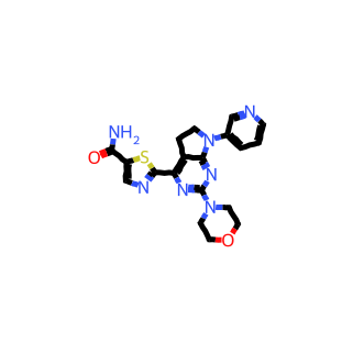 NC(=O)c1cnc(-c2nc(N3CCOCC3)nc3c2CCN3c2cccnc2)s1